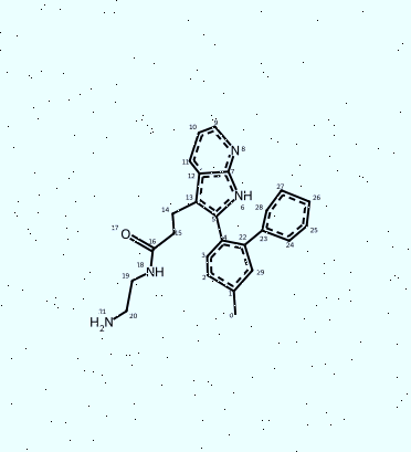 Cc1ccc(-c2[nH]c3ncccc3c2CCC(=O)NCCN)c(-c2ccccc2)c1